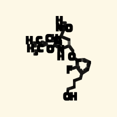 CC(C)(C)OC(=O)NC(CCC(N)=O)COc1cccc(CCCCO)c1F